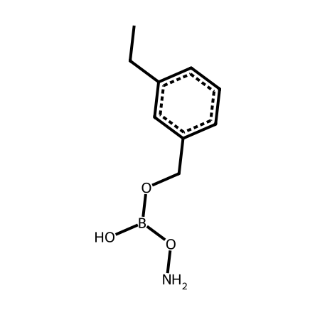 CCc1cccc(COB(O)ON)c1